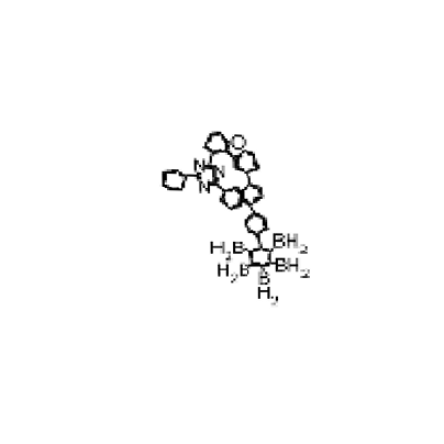 Bc1c(B)c(B)c(-c2ccc(-c3ccc(-c4ccc5oc6cccc(-c7nc(-c8ccccc8)nc(-c8ccccc8)n7)c6c5c4)cc3)cc2)c(B)c1B